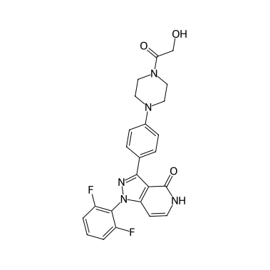 O=C(CO)N1CCN(c2ccc(-c3nn(-c4c(F)cccc4F)c4cc[nH]c(=O)c34)cc2)CC1